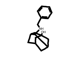 OC12CC3CC(C1)C(NCc1ccccc1)C(C3)C2